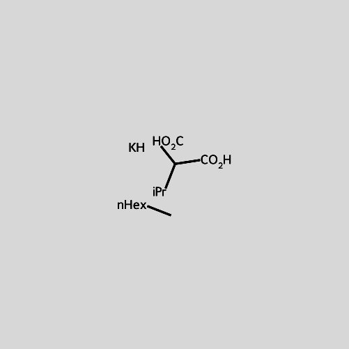 CC(C)C(C(=O)O)C(=O)O.CCCCCCC.[KH]